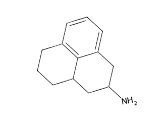 NC1Cc2cccc3c2C(CCC3)C1